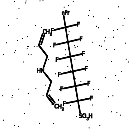 C=CCNCC=C.CCCC(F)(F)C(F)(F)C(F)(F)C(F)(F)C(F)(F)C(F)(F)S(=O)(=O)O